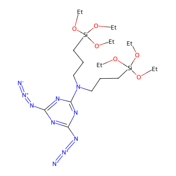 CCO[Si](CCCN(CCC[Si](OCC)(OCC)OCC)c1nc(N=[N+]=[N-])nc(N=[N+]=[N-])n1)(OCC)OCC